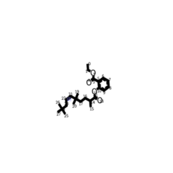 CCOC(=O)c1ccccc1OC(=O)C(C)CCC(C)(C)/C=C\CC(C)(C)C